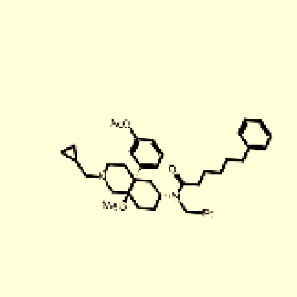 CO[C@]12CC[C@@H](N(CC(C)C)C(=O)CCCCCc3ccccc3)C[C@]1(c1cccc(OC(C)=O)c1)CCN(CC1CC1)C2